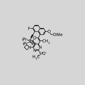 COCOc1cc(-c2oc(=O)c3c(N4CCC4)nc([S+](C)[O-])nc3c2C)c2c(C#C[Si](C(C)C)(C(C)C)C(C)C)c(F)ccc2c1